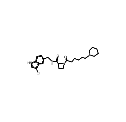 O=C(NCc1ccc2[nH]cc(Cl)c2c1)C1CCN1C(=O)CCCCCN1CCCCC1